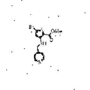 COC(=O)c1sc(Br)cc1NCc1ccncc1